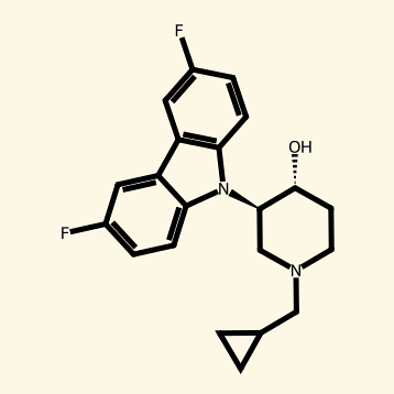 O[C@@H]1CCN(CC2CC2)C[C@H]1n1c2ccc(F)cc2c2cc(F)ccc21